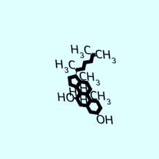 CC(C)CCCC(C)[C@H]1CC[C@H]2[C@@H]3[C@H](O)CC4C[C@H](O)CC[C@]4(C)[C@H]3CC[C@]12C